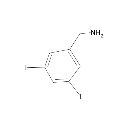 NCc1cc(I)cc(I)c1